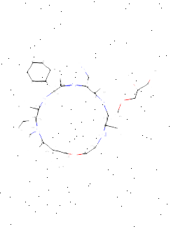 CCCCCC[C@H]1OC[C@@H](C)NC(C=O)[C@@H](COC[C@@H](O)CO)NC(C=O)[C@H](CN)NC(C=O)[C@H](C2CCCCC2)NC(C=O)[C@H](CC(C)C)N(C)C(C=O)[C@H]1C